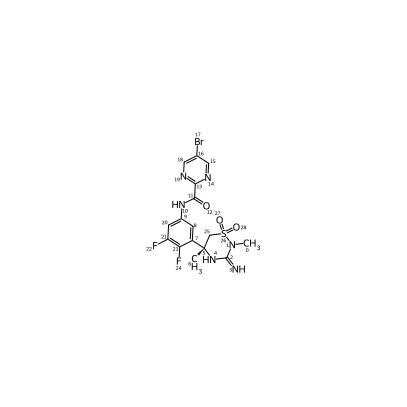 CN1C(=N)N[C@](C)(c2cc(NC(=O)c3ncc(Br)cn3)cc(F)c2F)CS1(=O)=O